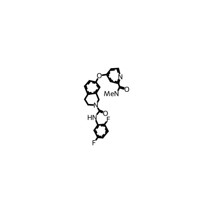 CNC(=O)c1cc(Oc2ccc3c(c2)CN(C(=O)Nc2cc(F)ccc2F)CC3)ccn1